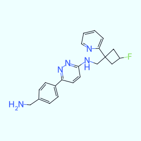 NCc1ccc(-c2ccc(NCC3(c4ccccn4)CC(F)C3)nn2)cc1